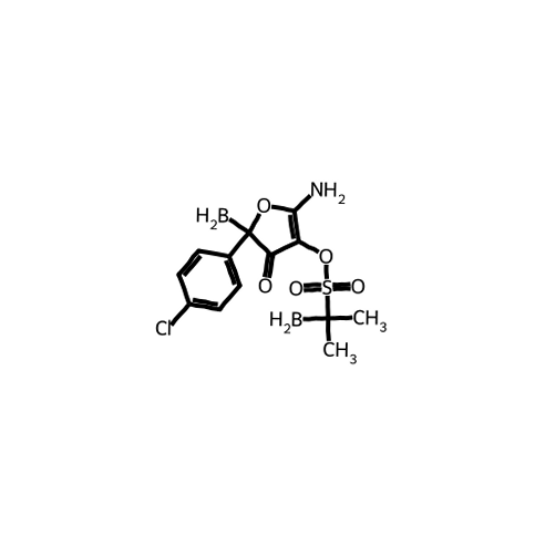 BC1(c2ccc(Cl)cc2)OC(N)=C(OS(=O)(=O)C(B)(C)C)C1=O